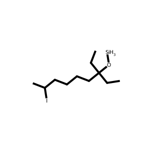 CCC(CC)(CCCCC(C)I)O[SiH3]